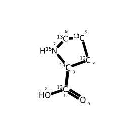 O=[13C](O)[13CH]1[13CH2][13CH2][13CH2][15NH]1